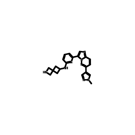 Cn1cc(-c2ccc3ncc(-c4cccc(NC5CC6(CNC6)C5)n4)n3n2)cn1